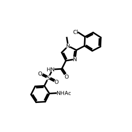 CC(=O)Nc1ccccc1S(=O)(=O)NC(=O)c1cn(C)c(-c2ccccc2Cl)n1